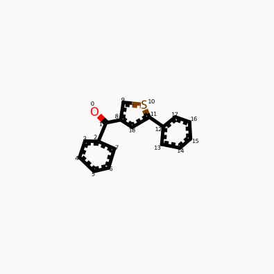 O=C(c1ccccc1)c1csc(-c2ccccc2)c1